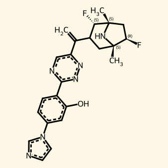 C=C(c1cnc(-c2ccc(-n3ccnc3)cc2O)nn1)C1C[C@]2(C)N[C@@](C)(C[C@H]2F)[C@H]1F